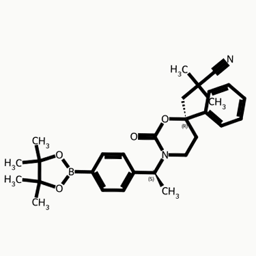 C[C@@H](c1ccc(B2OC(C)(C)C(C)(C)O2)cc1)N1CC[C@](CC(C)(C)C#N)(c2ccccc2)OC1=O